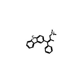 CC(CN(C)C)=C(c1ccccc1)c1ccc2sc3ccccc3c2c1